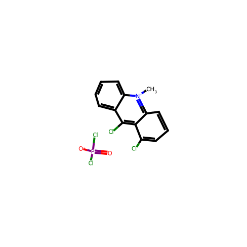 C[n+]1c2ccccc2c(Cl)c2c(Cl)cccc21.O=P([O-])(Cl)Cl